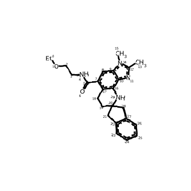 CCOCCNC(=O)c1cc2c(nc(C)n2C)c2c1CCC1(Cc3ccccc3C1)N2